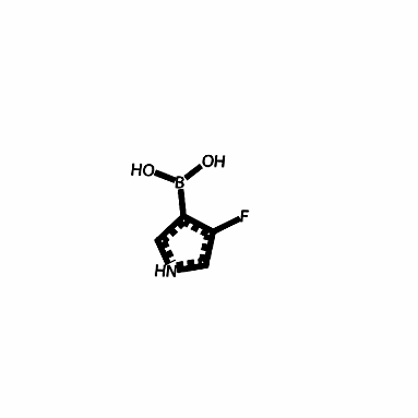 OB(O)c1c[nH]cc1F